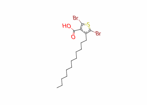 CCCCCCCCCCCCc1c(Br)sc(Br)c1C(=O)O